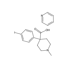 CN1CCC(C(=O)O)(c2ccc(I)cc2)CC1.c1ccncc1